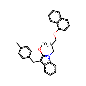 Cc1ccc(Cc2c(OC(=O)O)n(CCCOc3cccc4ccccc34)c3ccccc23)cc1